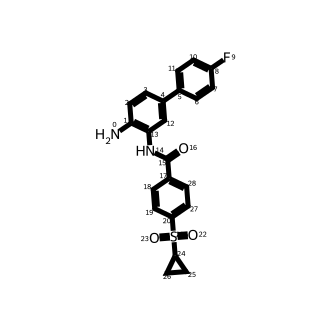 Nc1ccc(-c2ccc(F)cc2)cc1NC(=O)c1ccc(S(=O)(=O)C2CC2)cc1